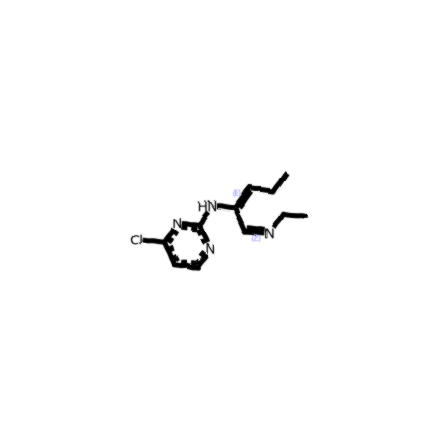 CC/C=C(\C=N/CC)Nc1nccc(Cl)n1